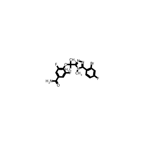 Cn1c(-c2ccc(F)cc2Br)nnc1C(C)(C)Oc1c(F)cc(C(N)=O)cc1F